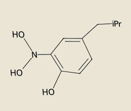 CC(C)Cc1ccc(O)c(N(O)O)c1